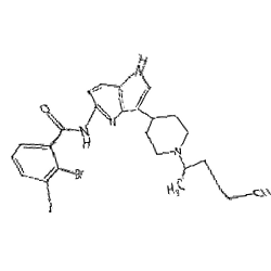 CCCC(C)N1CCC(c2c[nH]c3ccc(NC(=O)c4cccc(I)c4Br)nc23)CC1